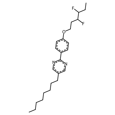 CCCCCCCCc1cnc(-c2ccc(OCCC(F)C(F)CC)cc2)nc1